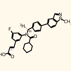 [2H][C@H](c1ccc(-c2ccc3c(cnn3C)c2)cc1)N(C(=O)C1CCCCC1)c1cc(F)cc(/C=C/C(=O)O)c1